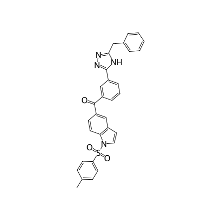 Cc1ccc(S(=O)(=O)n2ccc3cc(C(=O)c4cccc(-c5nnc(Cc6ccccc6)[nH]5)c4)ccc32)cc1